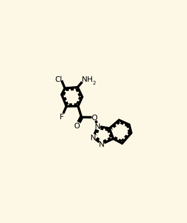 Nc1cc(C(=O)On2nnc3ccccc32)c(F)cc1Cl